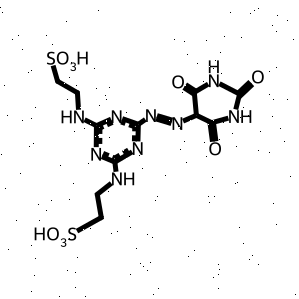 O=C1NC(=O)C(/N=N/c2nc(NCCS(=O)(=O)O)nc(NCCS(=O)(=O)O)n2)C(=O)N1